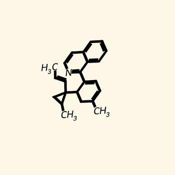 CC=CC1(C2CC(C)=CC=C2c2nccc3ccccc23)CC1C